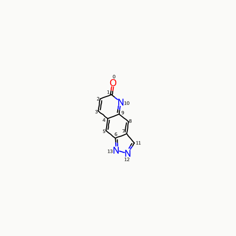 O=C1C=Cc2cc3c(cc2=N1)C=NN=3